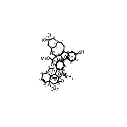 CC[C@]1(O)C[C@H]2CN(CCC3=C(Bc4ccc(S)cc43)[C@@](C(=O)OC)(c3cc4c(cc3OC)N(C)[C@@]35O[C@]3(C(=O)OC)[C@H](OC(C)=O)[C@]3(CC)C=CCN6CC[C@]45[C@@H]63)C2)C1